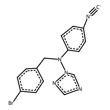 [C-]#[N+]c1ccc(N(Cc2ccc(Br)cc2)n2cncn2)cc1